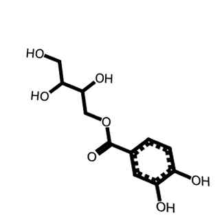 O=C(OCC(O)C(O)CO)c1ccc(O)c(O)c1